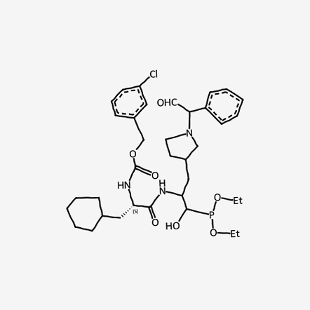 CCOP(OCC)C(O)C(CC1CCN(C(C=O)c2ccccc2)C1)NC(=O)[C@H](CC1CCCCC1)NC(=O)OCc1cccc(Cl)c1